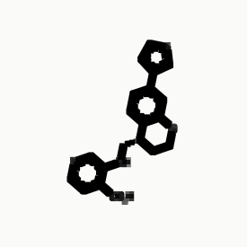 O=C(O)c1ccncc1NC[C@H]1CCOc2cc(-c3ccsc3)ccc21